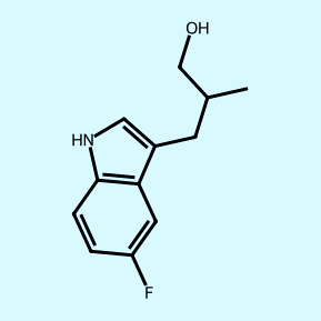 CC(CO)Cc1c[nH]c2ccc(F)cc12